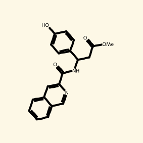 COC(=O)CC(NC(=O)c1cc2ccccc2cn1)c1ccc(O)cc1